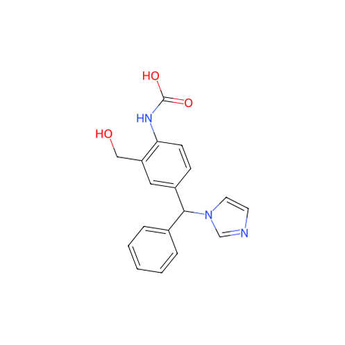 O=C(O)Nc1ccc(C(c2ccccc2)n2ccnc2)cc1CO